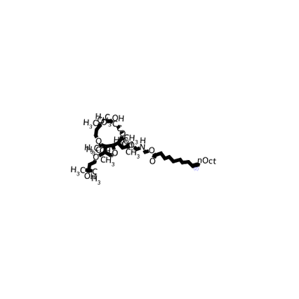 CCCCCCCC/C=C\CCCCCCCC(=O)OCNCOC(C)(C)CC1C2OCC(C(C)(C)OCCC(C)(C)O)C2C(C)(C)OCCC(C)(C)OC(C)(O)CCOC1(C)C